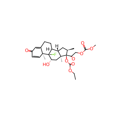 CCOC(=O)O[C@]1(C(=O)COC(=O)OC)[C@H](C)C[C@H]2[C@@H]3CCC4=CC(=O)C=C[C@]4(C)[C@@]3(F)[C@@H](O)C[C@@]21C